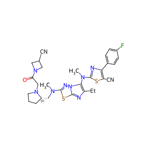 CCc1nc2sc(N(C)C[C@@H]3CCCN3CC(=O)N3CC(C#N)C3)nn2c1N(C)c1nc(-c2ccc(F)cc2)c(C#N)s1